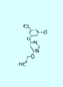 C#CCOc1cc(Oc2cc(Cl)cc(Cl)c2)ncn1